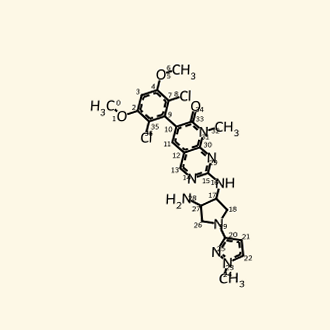 COc1cc(OC)c(Cl)c(-c2cc3cnc(NC4CN(c5ccn(C)n5)CC4N)nc3n(C)c2=O)c1Cl